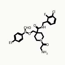 CCc1ccc(N(C=O)OCC2(C(=O)NCc3cccc(Cl)c3F)CCN(C(=O)CN)CC2)cc1